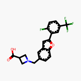 O=C(O)C1CN(Cc2ccc3oc(-c4cc(C(F)(F)F)ccc4F)cc3c2)C1